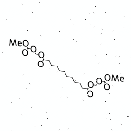 COC(=O)OCOC(=O)CCCCCCCCCCC(=O)OCOC(=O)OC